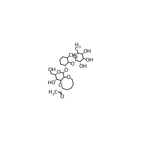 CC(=O)[C@H]1CCCCOC2C(O1)[C@@H](O)C(CO)O[C@H]2O[C@@H]1CCCC(C)C1O[C@@H]1OC(C)[C@@H](O)C(O)[C@@H]1O